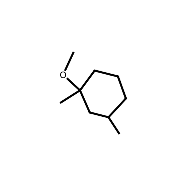 COC1(C)CCCC(C)C1